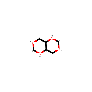 C1OCC2OCOCC2O1